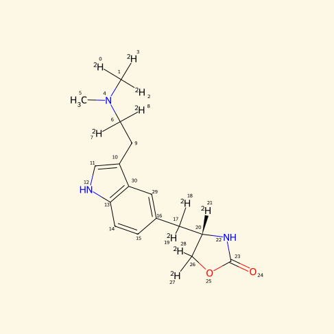 [2H]C([2H])([2H])N(C)C([2H])([2H])Cc1c[nH]c2ccc(C([2H])([2H])[C@]3([2H])NC(=O)OC3([2H])[2H])cc12